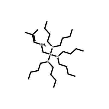 CCCCN(CCCC)[Si](C[SiH2]C=C(C)C)(N(CCCC)CCCC)N(CCCC)CCCC